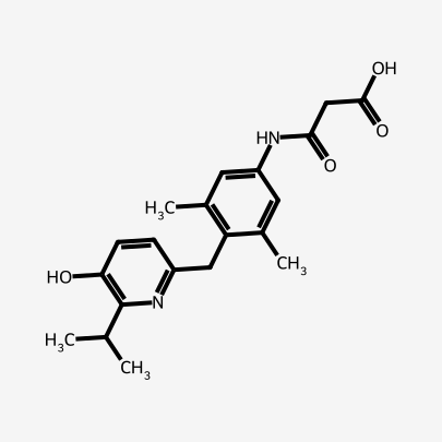 Cc1cc(NC(=O)CC(=O)O)cc(C)c1Cc1ccc(O)c(C(C)C)n1